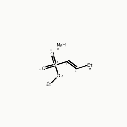 CCC=CS(=O)(=O)OCC.[NaH]